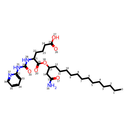 CCCCCCCCCCCCCC(CC(N)=O)OC(=O)C(CCCC(=O)O)NC(=O)Nc1ccccn1